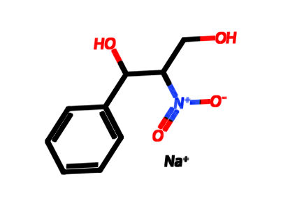 O=[N+]([O-])C(CO)C(O)c1ccccc1.[Na+]